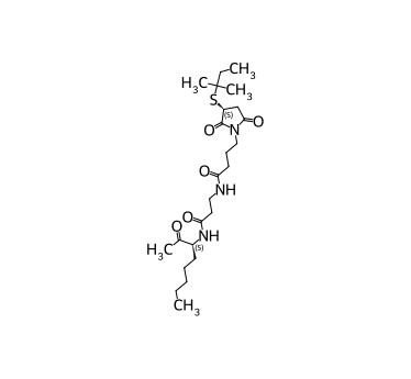 CCCCC[C@H](NC(=O)CCNC(=O)CCCN1C(=O)C[C@H](SC(C)(C)CC)C1=O)C(C)=O